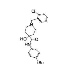 CC(C)(C)c1ccc(NC(=O)C2(O)CCN(Cc3ccccc3Cl)CC2)cc1